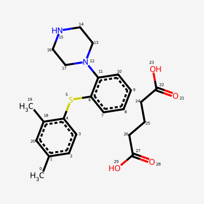 Cc1ccc(Sc2ccccc2N2CCNCC2)c(C)c1.O=C(O)CCCC(=O)O